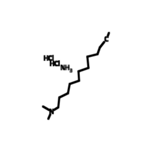 CCCCCCCCCCCCN(C)C.Cl.Cl.N